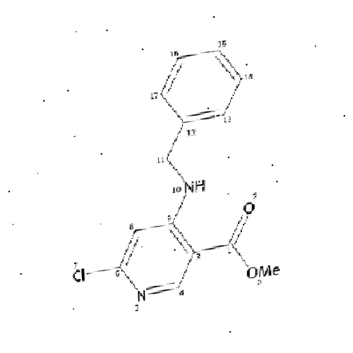 COC(=O)c1cnc(Cl)cc1NCc1ccccc1